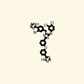 Clc1ccc(/N=c2/sc(-c3cccc(Oc4cccc(-c5nnn[nH]5)c4)c3)nn2Cc2ccc(-c3nnn[nH]3)c(Br)c2)cc1Cl